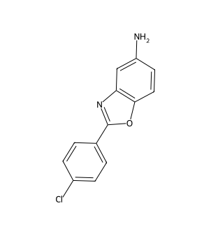 Nc1ccc2oc(-c3ccc(Cl)cc3)nc2c1